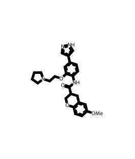 COc1ccc2c(c1)CC(C(=O)Nc1ccc(-c3cn[nH]c3)cc1OCCN1CCCC1)CO2